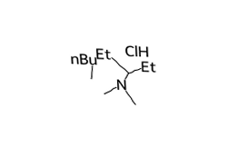 CCC(CC)N(C)C.CCCCC.Cl